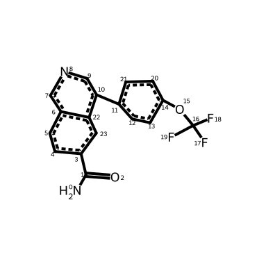 NC(=O)c1ccc2cncc(-c3ccc(OC(F)(F)F)cc3)c2c1